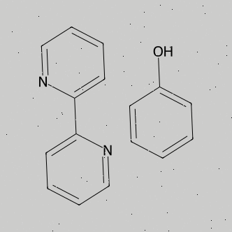 Oc1ccccc1.c1ccc(-c2ccccn2)nc1